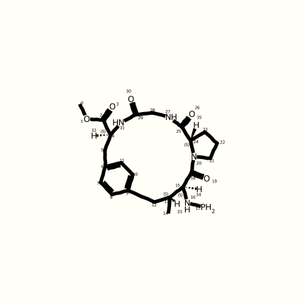 COC(=O)[C@@H]1Cc2ccc(cc2)C[C@H](C)[C@H](NP)C(=O)N2CCC[C@H]2C(=O)NCC(=O)N1